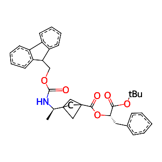 C[C@@H](NC(=O)OCC1c2ccccc2-c2ccccc21)C12CC(C(=O)O[C@@H](Cc3ccccc3)C(=O)OC(C)(C)C)(C1)C2